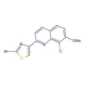 COc1ccc2[c]cc(-c3csc(C(C)C)n3)nc2c1Cl